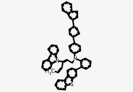 C/C=C\C(=C/CN(c1ccc(-c2ccc(-c3ccc4ccccc4c3)cc2)cc1)c1ccccc1-c1ccc2c(c1)sc1ccccc12)n1c2ccccc2c2ccccc21